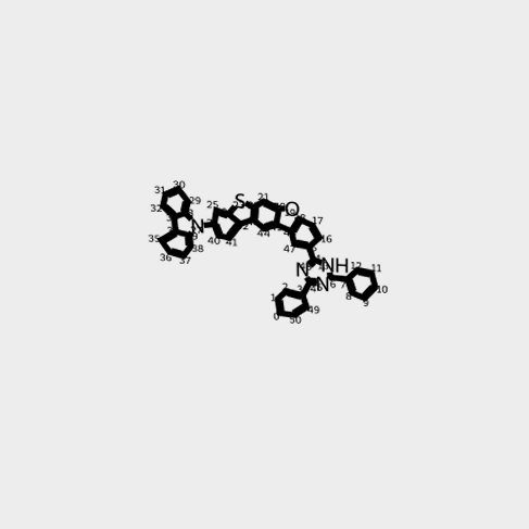 c1ccc(C2=NC(c3ccccc3)NC(c3ccc4oc5cc6sc7cc(-n8c9ccccc9c9ccccc98)ccc7c6cc5c4c3)=N2)cc1